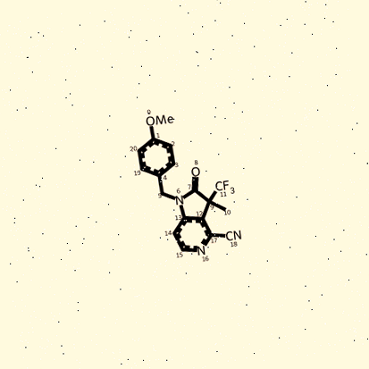 COc1ccc(CN2C(=O)C(C)(C(F)(F)F)c3c2ccnc3C#N)cc1